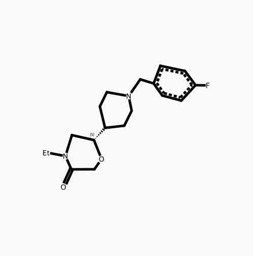 CCN1C[C@H](C2CCN(Cc3ccc(F)cc3)CC2)OCC1=O